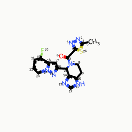 Cc1nnc(C(=O)N2CCc3[nH]cnc3C2c2cc3c(F)cccn3n2)s1